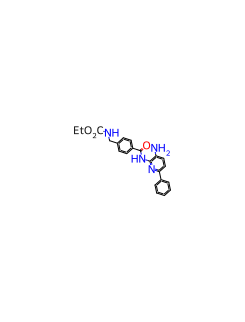 CCOC(=O)NCc1ccc(C(=O)Nc2nc(-c3ccccc3)ccc2N)cc1